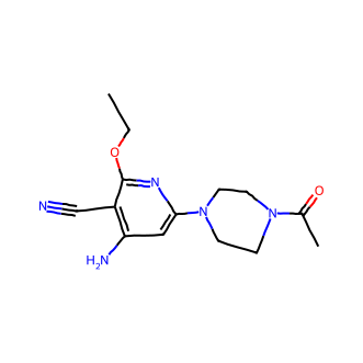 CCOc1nc(N2CCN(C(C)=O)CC2)cc(N)c1C#N